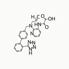 CCCN(Cc1ccc(-c2ccccc2-c2nnn[nH]2)cc1)c1ncccc1NC(=O)C(=O)O